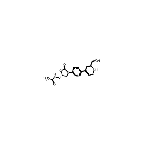 CC(=O)NC[C@H]1CN(c2ccc(C3=CCNC(CO)C3)cc2)C(=O)O1